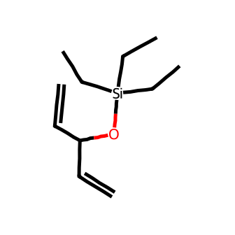 C=CC(C=C)O[Si](CC)(CC)CC